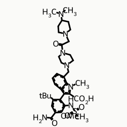 COc1c(C(N)=O)cc(C(C)(C)C)c(-c2c(C(=O)O)n(C)c3c(CN4CCN(C(=O)CN5CCC(N(C)C)CC5)CC4)cccc23)c1NS(C)(=O)=O